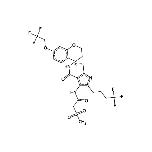 CS(=O)(=O)CC(=O)Nc1c2c(nn1CCCC(F)(F)F)C[C@]1(CCOc3cc(OCC(F)(F)F)ccc31)NC2=O